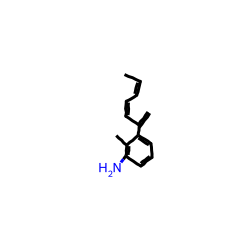 C=C(/C=C\C=C/C)c1cccc(N)c1C